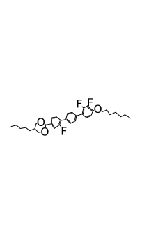 CCCCCCCOc1ccc(-c2ccc(-c3ccc(C4OCC(CCCCC)CO4)cc3F)cc2)c(F)c1F